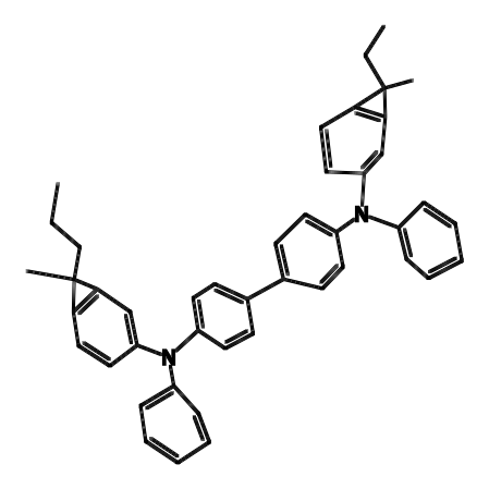 CCCC1(C)c2ccc(N(c3ccccc3)c3ccc(-c4ccc(N(c5ccccc5)c5ccc6c(c5)C6(C)CC)cc4)cc3)cc21